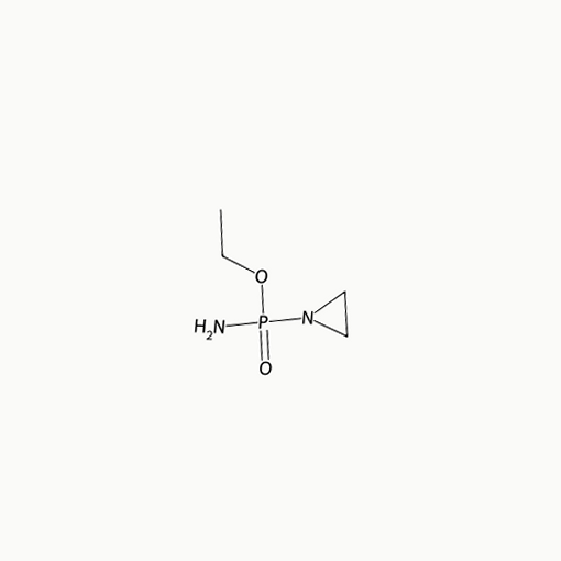 CCOP(N)(=O)N1CC1